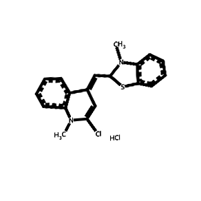 CN1C(Cl)=CC(=CC2Sc3ccccc3N2C)c2ccccc21.Cl